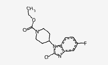 CCOC(=O)N1CCC(n2c(Cl)nc3cc(F)ccc32)CC1